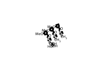 COc1cccc(C(=O)CN2C=CN(C)C2)c1.COc1cccc(C(=O)CN2C=CN(C)C2)c1.COc1cccc(C(=O)CN2C=CN(C)C2)c1.O=P(O)(O)O